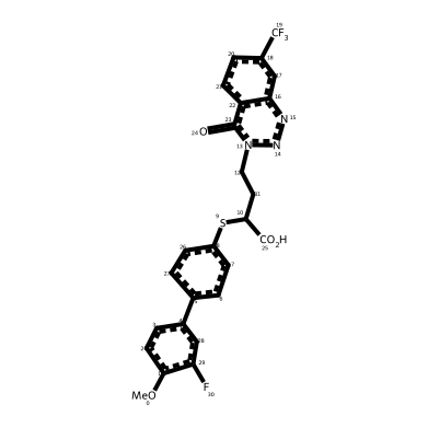 COc1ccc(-c2ccc(SC(CCn3nnc4cc(C(F)(F)F)ccc4c3=O)C(=O)O)cc2)cc1F